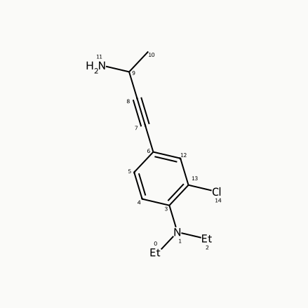 CCN(CC)c1ccc(C#CC(C)N)cc1Cl